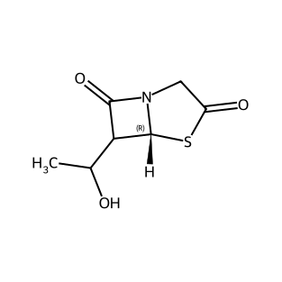 CC(O)C1C(=O)N2CC(=O)S[C@H]12